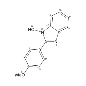 COc1ccc(-c2nc3ccccc3n2O)cc1